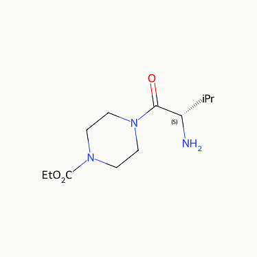 CCOC(=O)N1CCN(C(=O)[C@@H](N)C(C)C)CC1